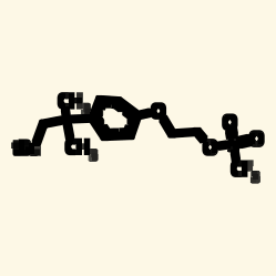 CC(C)(C)CC(C)(C)c1ccc(OCCOS(=O)(=O)C(F)(F)F)cc1